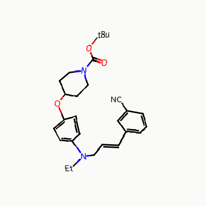 CCN(CC=Cc1cccc(C#N)c1)c1ccc(OC2CCN(C(=O)OC(C)(C)C)CC2)cc1